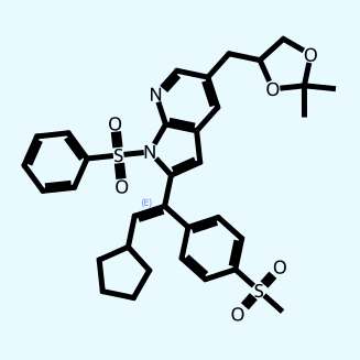 CC1(C)OCC(Cc2cnc3c(c2)cc(/C(=C/C2CCCC2)c2ccc(S(C)(=O)=O)cc2)n3S(=O)(=O)c2ccccc2)O1